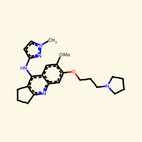 COc1cc2c(Nc3ccn(C)n3)c3c(nc2cc1OCCCN1CCCC1)CCC3